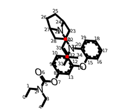 CCN(CC)C(=O)Oc1ccc2c(c1)Oc1ccccc1N2C1CC2CCC(C1)N2CC=C(C)C